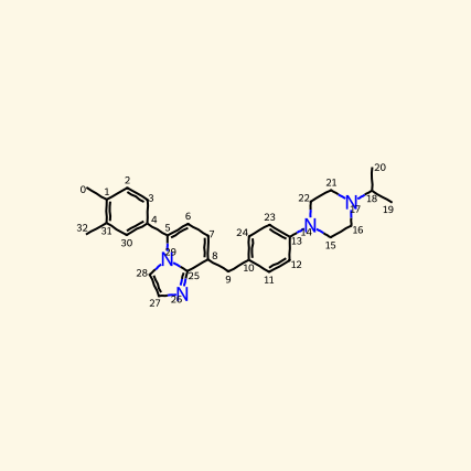 Cc1ccc(-c2ccc(Cc3ccc(N4CCN(C(C)C)CC4)cc3)c3nccn23)cc1C